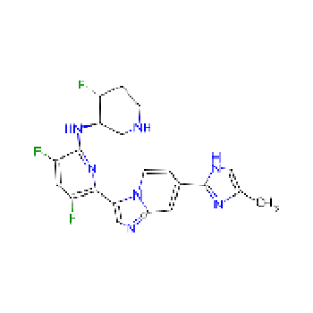 Cc1c[nH]c(-c2ccn3c(-c4nc(N[C@@H]5CNCC[C@H]5F)c(F)cc4F)cnc3c2)n1